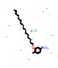 CCCCCCCCCCCCCCCCOc1cc(N)[c]cc1C.Cl